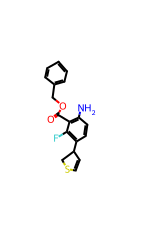 Nc1ccc(C2C=CSC2)c(F)c1C(=O)OCc1ccccc1